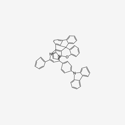 c1ccc(-c2cc(-c3ccc(-n4c5ccccc5c5ccccc54)cc3)nc(-c3cccc4c3C3(c5ccccc5Oc5ccccc53)c3ccccc3-4)n2)cc1